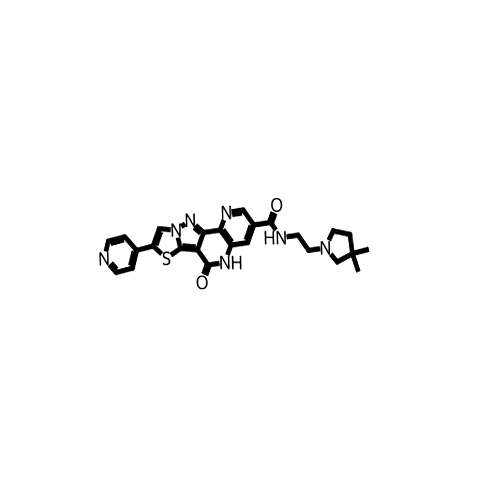 CC1(C)CCN(CCNC(=O)c2cnc3c(c2)[nH]c(=O)c2c3nn3cc(-c4ccncc4)sc23)C1